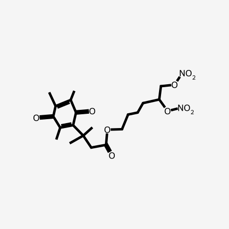 CC1=C(C)C(=O)C(C(C)(C)CC(=O)OCCCCC(CO[N+](=O)[O-])O[N+](=O)[O-])=C(C)C1=O